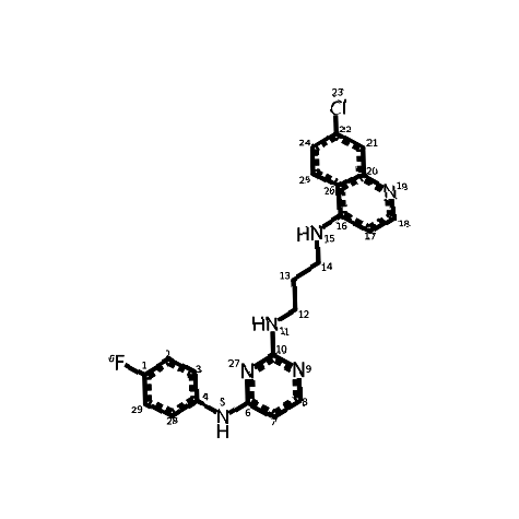 Fc1ccc(Nc2ccnc(NCCCNc3ccnc4cc(Cl)ccc34)n2)cc1